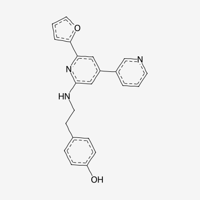 Oc1ccc(CCNc2cc(-c3cccnc3)cc(-c3ccco3)n2)cc1